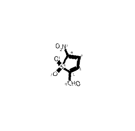 O=CC1=CC=C([N+](=O)[O-])S1(=O)=O